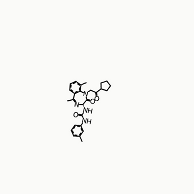 CC1=N[C@@H](NC(=O)Nc2cccc(C)c2)C(=O)N(CC(=O)C2CCCC2)c2c(C)cccc21